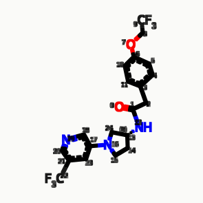 O=C(Cc1ccc(OCC(F)(F)F)cc1)N[C@@H]1CCN(c2cncc(C(F)(F)F)c2)C1